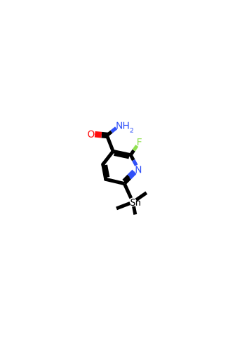 [CH3][Sn]([CH3])([CH3])[c]1ccc(C(N)=O)c(F)n1